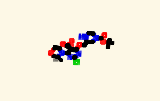 C[C@H]1COCCN1c1nc(Cl)nc(OCC2CN(C(=O)OC(C)(C)C)CCN2)c1C(=O)O